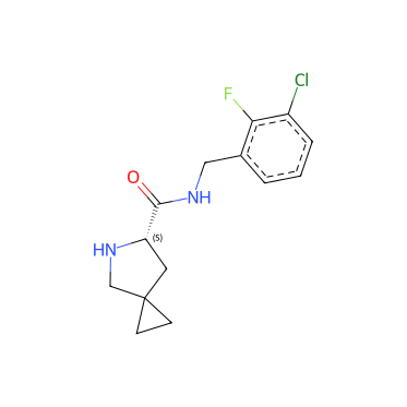 O=C(NCc1cccc(Cl)c1F)[C@@H]1CC2(CC2)CN1